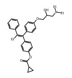 CCC(=C(c1ccc(OCC(O)CN(CC)CC)cc1)c1ccc(OC(=O)C2CC2)cc1)c1ccccc1